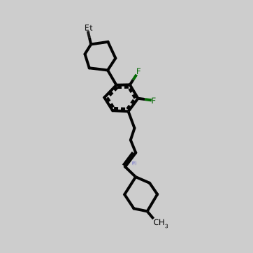 CCC1CCC(c2ccc(CC/C=C/C3CCC(C)CC3)c(F)c2F)CC1